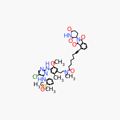 COc1cc(CCN(C)C(=O)CCCCCC#Cc2cccc3c2C(=O)N(C2CCC(=O)NC2=O)C3=O)c(C)cc1Nc1ncc(Cl)c(Nc2ccccc2P(C)(C)=O)n1